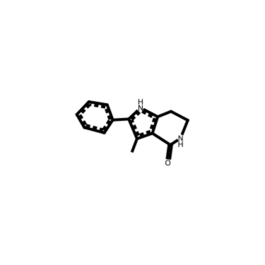 Cc1c(-c2ccccc2)[nH]c2c1C(=O)NCC2